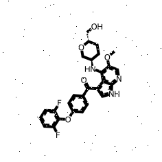 COc1cnc2[nH]cc(C(=O)c3ccc(Oc4c(F)cccc4F)cc3)c2c1N[C@@H]1CC[C@@H](CO)OC1